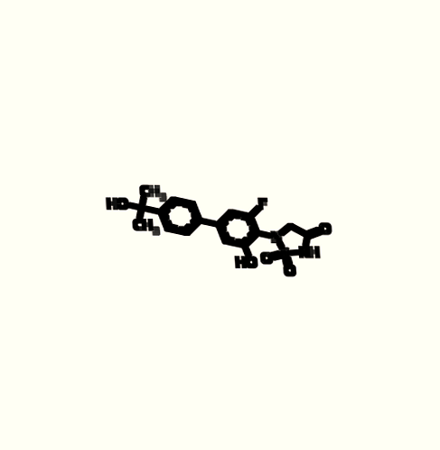 CC(C)(O)c1ccc(-c2cc(O)c(N3CC(=O)NS3(=O)=O)c(F)c2)cc1